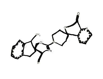 CC1c2ccccc2CC12OC(N1CCC3(CC1)OC(=O)c1ncccc13)=NC2=O